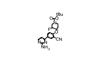 CC(C)(C)OC(=O)N1CC[C@H](Oc2ccc(-c3ccnc(N)n3)cc2C#N)[C@H](F)C1